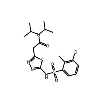 Cc1c(Cl)cccc1S(=O)(=O)Nc1nnc(CC(=O)N(C(C)C)C(C)C)s1